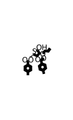 C=CCO[C@H]1C(O)S[C@@H](COC(=O)c2ccc(C)cc2)[C@H]1OC(=O)c1ccc(C)cc1